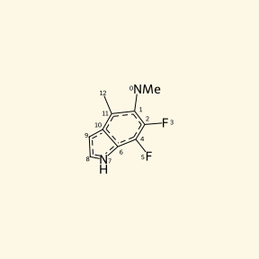 CNc1c(F)c(F)c2[nH]ccc2c1C